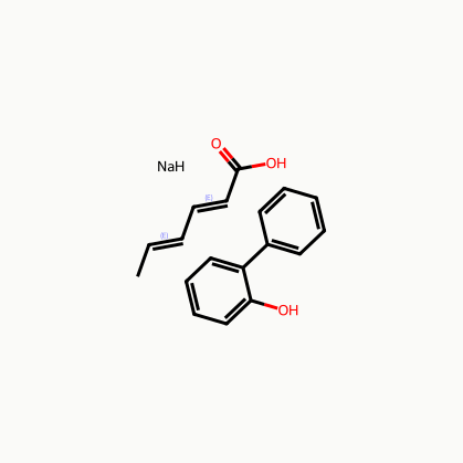 C/C=C/C=C/C(=O)O.Oc1ccccc1-c1ccccc1.[NaH]